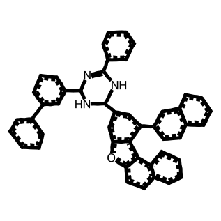 c1ccc(C2=NC(c3cccc(-c4ccccc4)c3)NC(c3cc(-c4ccc5ccccc5c4)c4c(c3)oc3ccc5ccccc5c34)N2)cc1